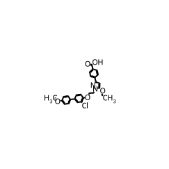 CCOc1cc(-c2ccc(C(=O)O)cc2)nn1CCOc1ccc(-c2ccc(OC)cc2)cc1Cl